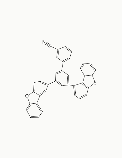 N#Cc1cccc(-c2cc(-c3ccc4oc5ccccc5c4c3)cc(-c3cccc4c3C3C=CC=CC3S4)c2)c1